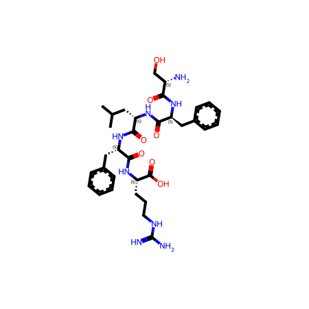 CC(C)C[C@H](NC(=O)[C@H](Cc1ccccc1)NC(=O)[C@@H](N)CO)C(=O)N[C@@H](Cc1ccccc1)C(=O)N[C@@H](CCCNC(=N)N)C(=O)O